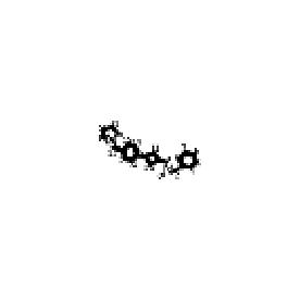 CN(Cc1ccccc1)CC1CC(c2ccc(CN3CCCC3)cc2)C1